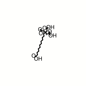 O=C(O)CCCCCCCCCCCCC(CC(=O)O)(CC(=O)O)CC(=O)O